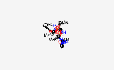 CCCCCCCCCCCCCCCCOc1cc(NS(=O)(=O)c2cc(NS(=O)(=O)c3ccc(OC)c(N=Nc4c(C#N)[nH]n(-c5ccccc5)c4=O)c3)ccc2OCCOC)c(O)cc1OC